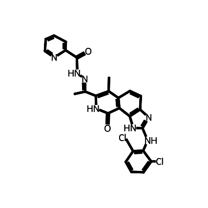 CC(=NNC(=O)c1ccccn1)c1[nH]c(=O)c2c(ccc3nc(Nc4c(Cl)cccc4Cl)[nH]c32)c1C